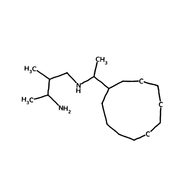 CC(N)C(C)CNC(C)C1CCCCCCCCCC1